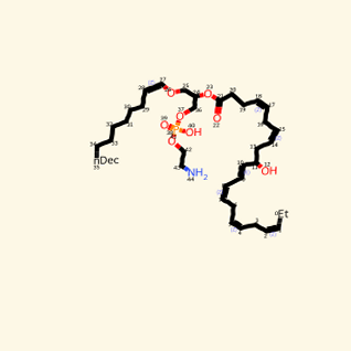 CC/C=C\C/C=C\C/C=C\C=C\C(O)C/C=C\C/C=C\CCC(=O)OC(CO/C=C\CCCCCCCCCCCCCCCC)COP(=O)(O)OCCN